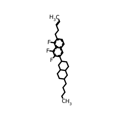 C/C=C/CCc1ccc2cc(C3CCC4CC(CCCCC)CCC4C3)c(F)c(F)c2c1F